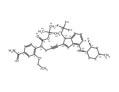 CCOc1cc(C(N)=O)ccc1N(CC#Cc1cc2c(N[C@@H]3CCN(C)C[C@@H]3F)cccc2n1CC(F)(F)F)C(=O)OC(C)(C)C